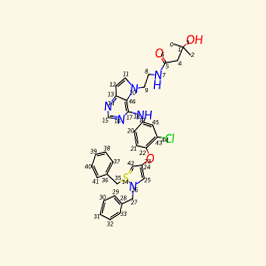 CC(C)(O)CC(=O)NCCn1ccc2ncnc(Nc3ccc(OC4=CN(Cc5ccccc5)S(Cc5ccccc5)=C4)c(Cl)c3)c21